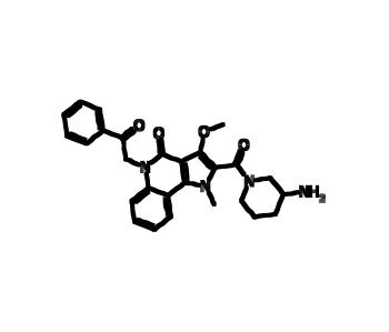 COc1c(C(=O)N2CCCC(N)C2)n(C)c2c1c(=O)n(CC(=O)c1ccccc1)c1ccccc21